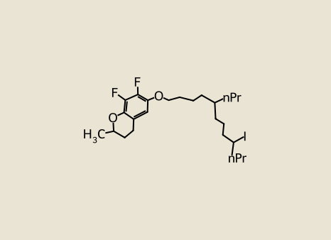 CCCC(I)CCCC(CCC)CCCCOc1cc2c(c(F)c1F)OC(C)CC2